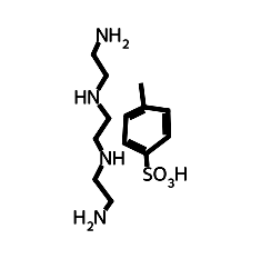 Cc1ccc(S(=O)(=O)O)cc1.NCCNCCNCCN